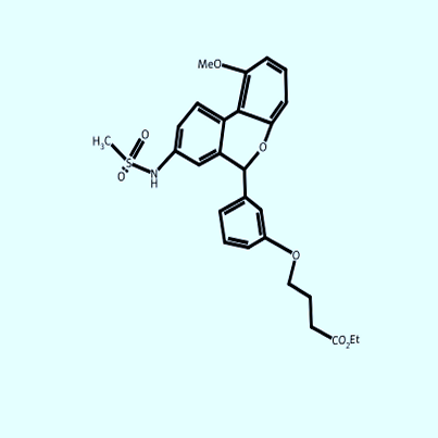 CCOC(=O)CCCOc1cccc(C2Oc3cccc(OC)c3-c3ccc(NS(C)(=O)=O)cc32)c1